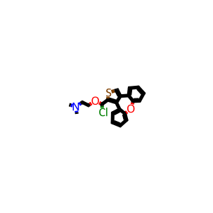 CN(C)CCOC(Cl)c1scc2c1-c1ccccc1Oc1ccccc1-2